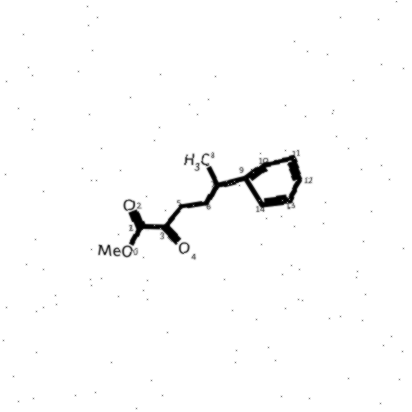 COC(=O)C(=O)CCC(C)c1ccccc1